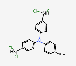 [SiH3]c1ccc(N(c2ccc([SiH](Cl)Cl)cc2)c2ccc([SiH](Cl)Cl)cc2)cc1